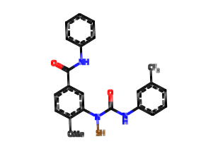 COc1ccc(C(=O)Nc2ccccc2)cc1N(S)C(=O)Nc1cccc(C(F)(F)F)c1